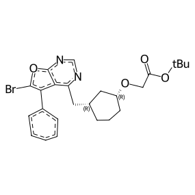 CC(C)(C)OC(=O)CO[C@@H]1CCC[C@H](Cc2ncnc3oc(Br)c(-c4ccccc4)c23)C1